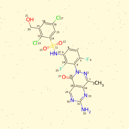 Cc1nn(-c2c(F)ccc(NS(=O)(=O)c3cc(Cl)cc(CO)c3Cl)c2F)c(=O)c2cnc(N)nc12